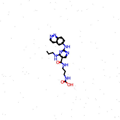 CCCNc1nc(Nc2ccc3nnccc3c2)ncc1C(=O)NCCCNC(=O)O